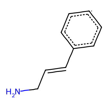 NCC=Cc1cc[c]cc1